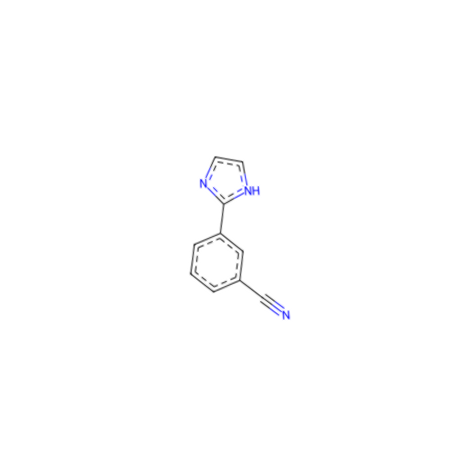 N#Cc1cccc(-c2ncc[nH]2)c1